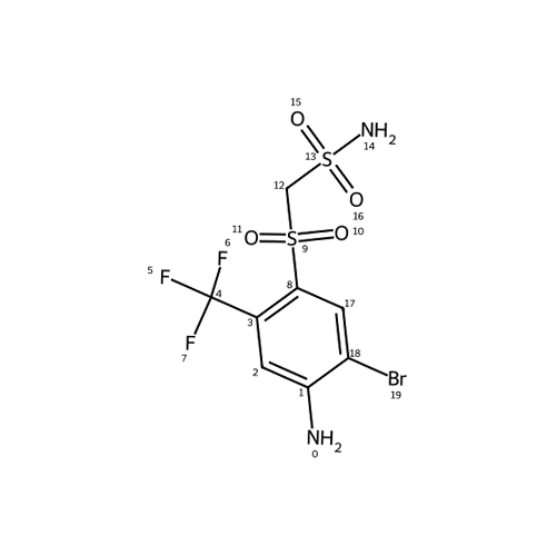 Nc1cc(C(F)(F)F)c(S(=O)(=O)CS(N)(=O)=O)cc1Br